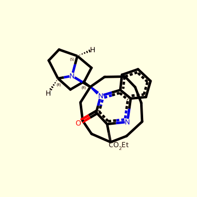 CCOC(=O)c1nc2ccccc2n([C@H]2C[C@H]3CC[C@@H](C2)N3C2CCCCCCCCCC2)c1=O